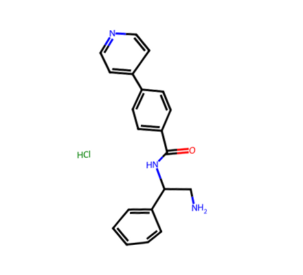 Cl.NCC(NC(=O)c1ccc(-c2ccncc2)cc1)c1ccccc1